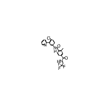 Cc1cc(C(=O)NCC(F)(F)F)ccc1C(=O)Nc1ccc(Cl)c(-c2ccccn2)c1